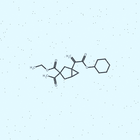 C=C(C(=O)OC1CCCCC1)C12CC1CC(C(C)=O)(C(=O)OCC)C2